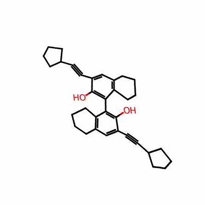 Oc1c(C#CC2CCCC2)cc2c(c1-c1c(O)c(C#CC3CCCC3)cc3c1CCCC3)CCCC2